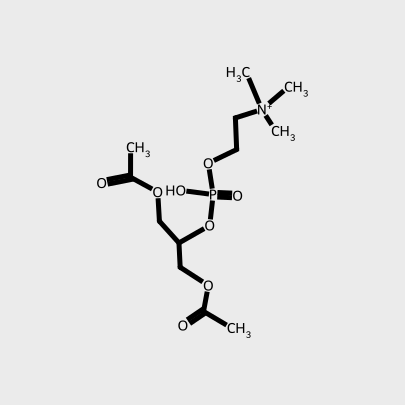 CC(=O)OCC(COC(C)=O)OP(=O)(O)OCC[N+](C)(C)C